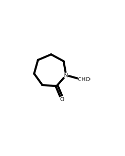 O=[C]N1CCCCCC1=O